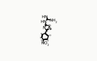 N=C(N)Nc1nc(-c2ccc([N+](=O)[O-])cc2)ns1